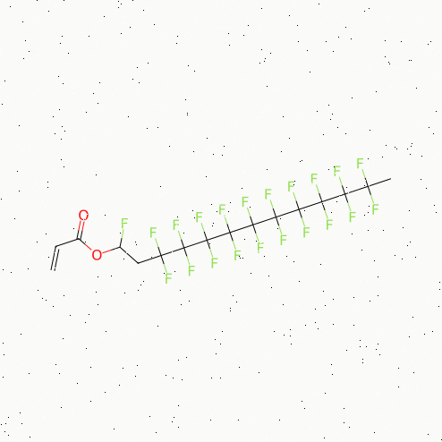 C=CC(=O)OC(F)CC(F)(F)C(F)(F)C(F)(F)C(F)(F)C(F)(F)C(F)(F)C(F)(F)C(F)(F)C(F)(F)C(C)(F)F